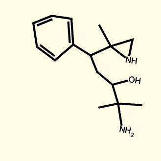 CC(C)(N)C(O)CC(c1ccccc1)C1(C)CN1